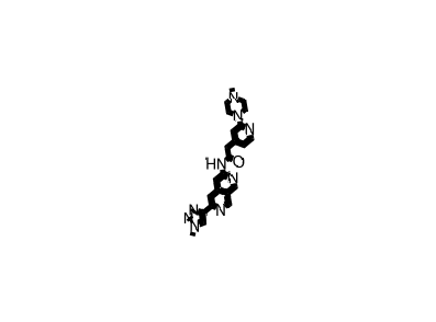 CN1CCN(c2cc(CC(=O)Nc3cc4cc(-c5cn(C)nn5)ncc4cn3)ccn2)CC1